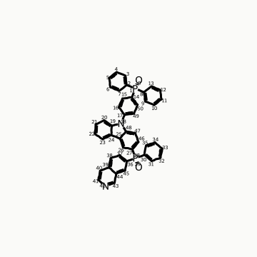 O=P(c1ccccc1)(c1ccccc1)c1ccc(-n2c3ccccc3c3cc(P(=O)(c4ccccc4)c4ccc5ccncc5c4)ccc32)cc1